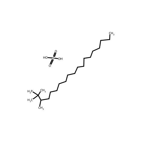 CCCCCCCCCCCCCCCCC(C)C(C)(C)P.O=S(=O)(O)O